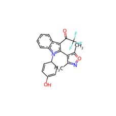 Cc1noc(C)c1-c1c(C(=O)C(F)(F)F)c2ccccc2n1C1C=CC(O)=CC1